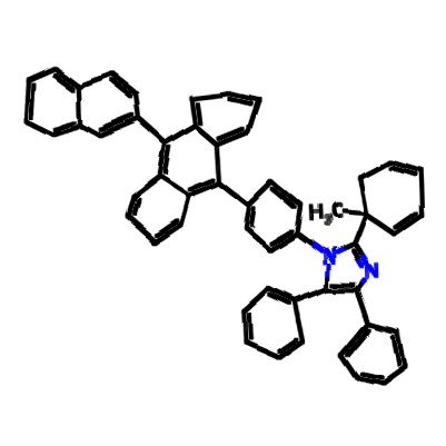 CC1(c2nc(-c3ccccc3)c(-c3ccccc3)n2-c2ccc(-c3c4ccccc4c(-c4ccc5ccccc5c4)c4ccccc34)cc2)C=CC=CC1